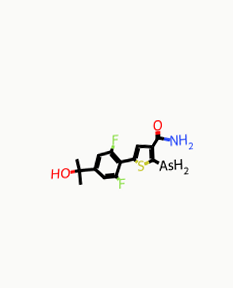 CC(C)(O)c1cc(F)c(-c2cc(C(N)=O)c([AsH2])s2)c(F)c1